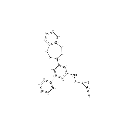 O=C1CC1CNc1cc(N2CCc3ccccc3CC2)nc(-c2ccccn2)n1